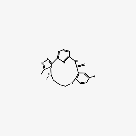 Cc1nnc2n1[C@@H](C)CCCOc1ccc(I)cc1C(=O)Nc1cccc-2n1